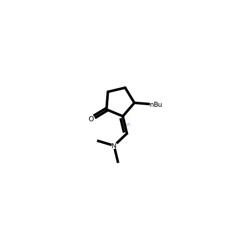 CCCCC1CCC(=O)/C1=C\N(C)C